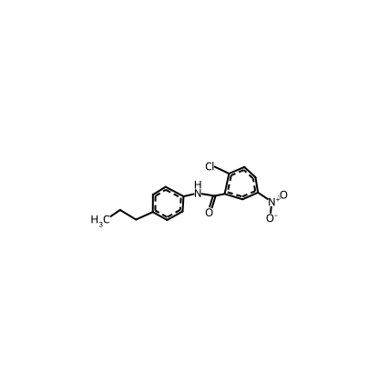 CCCc1ccc(NC(=O)c2cc([N+](=O)[O-])ccc2Cl)cc1